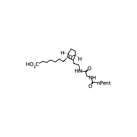 CCCCCC(=O)NCC(=O)NCC[C@H]1[C@@H](CCCCCCC(=O)O)[C@H]2CC[C@@H]1O2